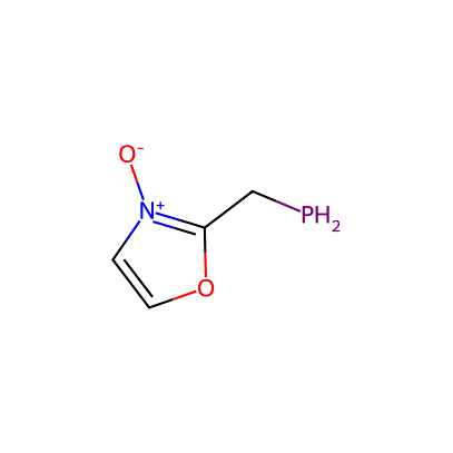 [O-][n+]1ccoc1CP